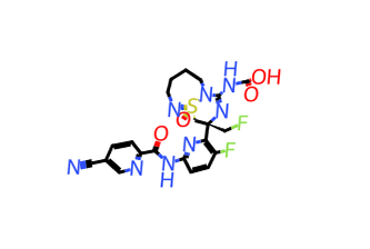 N#Cc1ccc(C(=O)Nc2ccc(F)c([C@]3(CF)C[S@]4(=O)=NCCCCN4C(NC(=O)O)=N3)n2)nc1